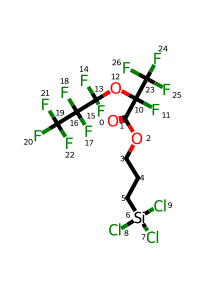 O=C(OCCC[Si](Cl)(Cl)Cl)C(F)(OC(F)(F)C(F)(F)C(F)(F)F)C(F)(F)F